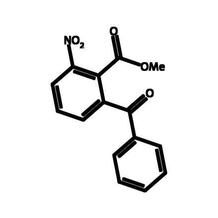 COC(=O)c1c(C(=O)c2ccccc2)cccc1[N+](=O)[O-]